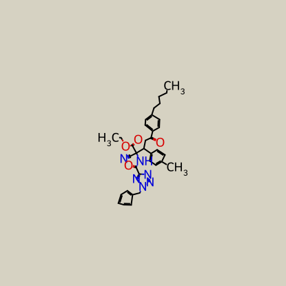 CCCCCc1ccc(C(=O)CC(c2ccc(C)cc2)C(C#N)(NC(=O)c2nnn(Cc3ccccc3)n2)C(=O)OCC)cc1